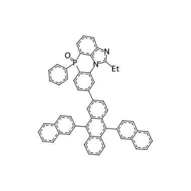 CCc1nc2cccc3c2n1-c1cc(-c2ccc4c(-c5ccc6ccccc6c5)c5ccccc5c(-c5ccc6ccccc6c5)c4c2)ccc1P3(=O)c1ccccc1